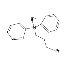 CC(C)CCC[N+](c1ccccc1)(c1ccccc1)C(C)C